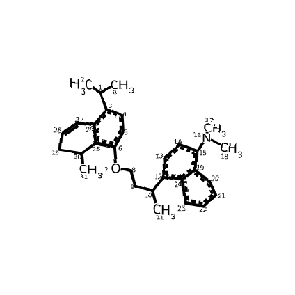 CC(C)c1ccc(OCCC(C)c2ccc(N(C)C)c3ccccc23)c2c1C=CCC2C